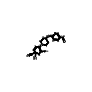 [2H]C1(C#N)C=CC(N2CCC(Sc3ccc(C=O)cn3)CC2)=C(F)C1